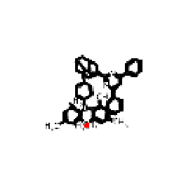 Cc1cc(C)c(B(c2ccc(C34CC5CC(C3)CC(c3nc(-c6ccccc6)cc(-c6ccccc6)n3)(C5)C4)cc2)c2c(C)cc(C)cc2C)c(C)c1